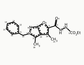 CCOC(=O)NNC(=O)c1oc2nn(Cc3ccccc3)c(C)c2c1C